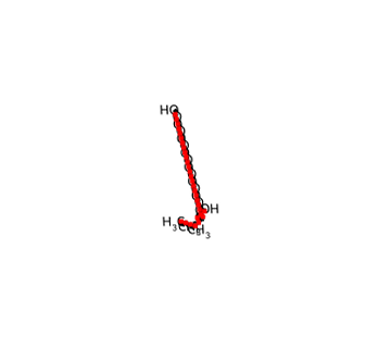 CC(C)CCCC(C)CCCC1CCC(C(CO)OCCOCCOCCOCCOCCOCCOCCOCCOCCOCCOCCOCCOCCOCCO)CC1